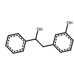 O[C](Cc1cccc(O)c1)c1ccccc1